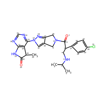 CC(C)NCC(C(=O)N1Cc2cn(-c3ncnc4c3C(C)C(=O)N4)nc2C1)c1ccc(Cl)cc1